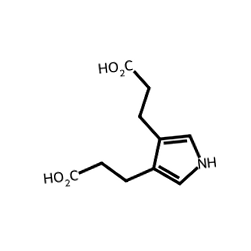 O=C(O)CCc1c[nH]cc1CCC(=O)O